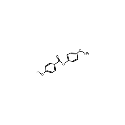 CCCOc1ccc(OC(=O)c2ccc(OCC)cc2)cc1